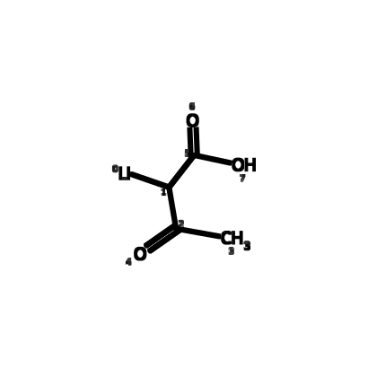 [Li][CH](C(C)=O)C(=O)O